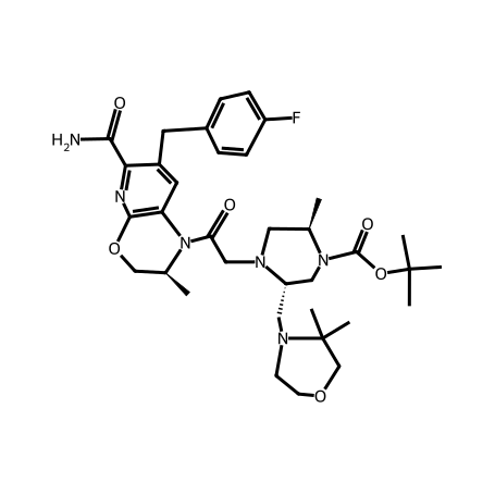 C[C@@H]1CN(CC(=O)N2c3cc(Cc4ccc(F)cc4)c(C(N)=O)nc3OC[C@@H]2C)[C@@H](CN2CCOCC2(C)C)CN1C(=O)OC(C)(C)C